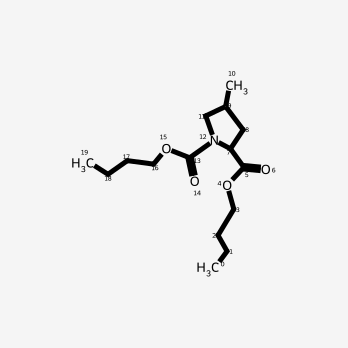 CCCCOC(=O)C1CC(C)CN1C(=O)OCCCC